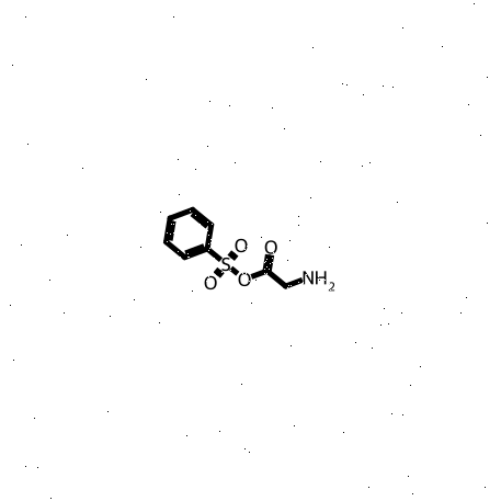 NCC(=O)OS(=O)(=O)c1ccccc1